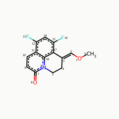 CO/C=C1\CCn2c(=O)ccc3c(F)cc(F)c1c32